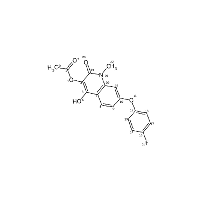 CC(=O)Oc1c(O)c2ccc(Oc3ccc(F)cc3)cc2n(C)c1=O